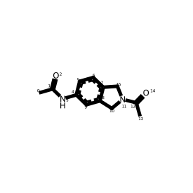 CC(=O)Nc1ccc2c(c1)CN(C(C)=O)C2